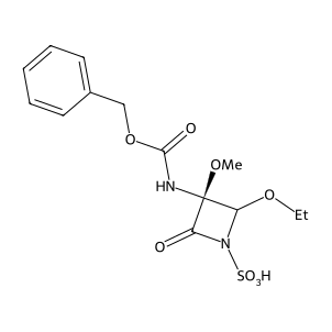 CCOC1N(S(=O)(=O)O)C(=O)[C@@]1(NC(=O)OCc1ccccc1)OC